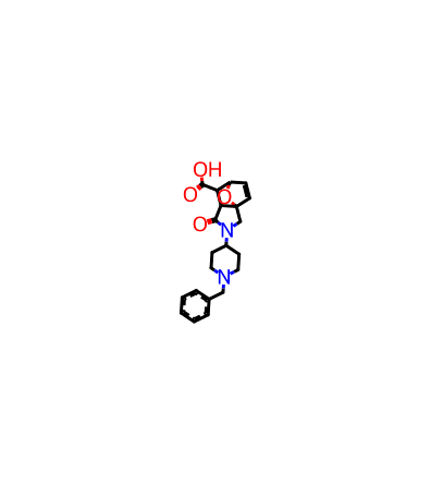 O=C(O)C1C2C=CC3(CN(C4CCN(Cc5ccccc5)CC4)C(=O)C13)O2